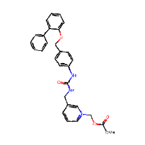 COC(=O)OC[n+]1cccc(CNC(=O)Nc2ccc(COc3ccccc3-c3ccccc3)cc2)c1